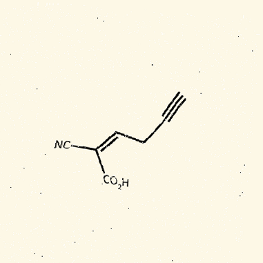 C#CCC=C(C#N)C(=O)O